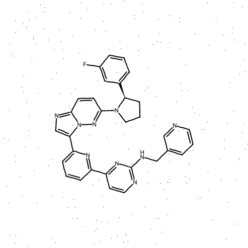 Fc1cccc([C@H]2CCCN2c2ccc3ncc(-c4cccc(-c5ccnc(NCc6cccnc6)n5)n4)n3n2)c1